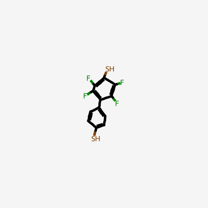 Fc1c(F)c(-c2ccc(S)cc2)c(F)c(F)c1S